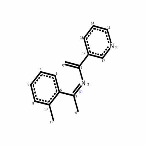 C=C(/N=C(/C)c1ccccc1C)c1cccnc1